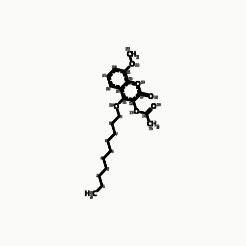 CCCCCCCCCCOc1c(OC(C)=O)c(=O)oc2c(OC)cccc12